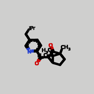 CC(C)Cc1ccc(C(=O)C2C(=O)C3(C)CCC2C3(C)C)nc1